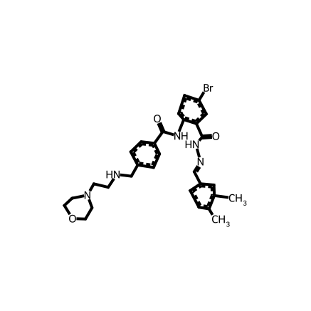 Cc1ccc(C=NNC(=O)c2cc(Br)ccc2NC(=O)c2ccc(CNCCN3CCOCC3)cc2)cc1C